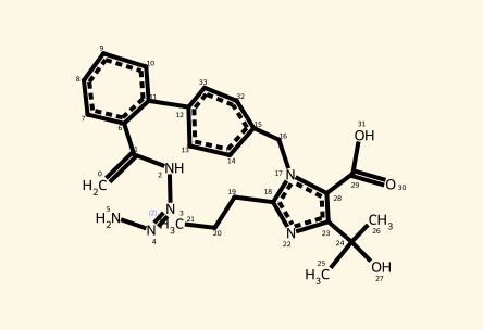 C=C(N/N=N\N)c1ccccc1-c1ccc(Cn2c(CCC)nc(C(C)(C)O)c2C(=O)O)cc1